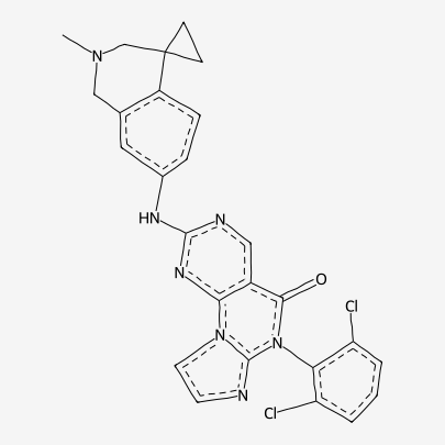 CN1Cc2cc(Nc3ncc4c(=O)n(-c5c(Cl)cccc5Cl)c5nccn5c4n3)ccc2C2(CC2)C1